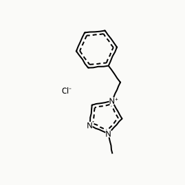 Cn1c[n+](Cc2ccccc2)cn1.[Cl-]